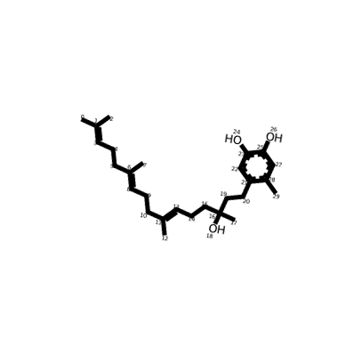 CC(C)=CCC/C(C)=C/CC/C(C)=C/CCC(C)(O)CCc1cc(O)c(O)cc1C